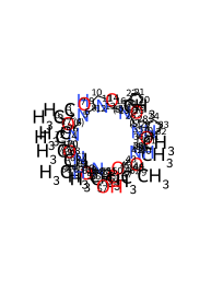 CCC(C)[C@@H]1NC(=O)C2CCCN2C(=O)[C@H](Cc2ccccc2)N(C)C(=O)[C@H](Cc2ccccc2)NC(=O)[C@H](C(C)C)NC(=O)[C@H](C(C)CC)OC(=O)[C@H](C(C)(C)O)N(C)C(=O)[C@H](CC(C)C)NC(=O)[C@H](C(C)C)N(C)C1=O